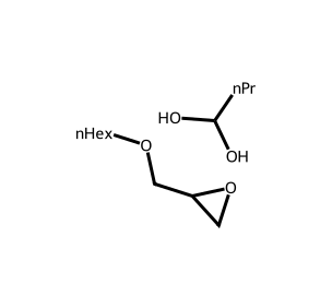 CCCC(O)O.CCCCCCOCC1CO1